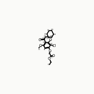 CCOC(=O)COc1cc(OC)c2c(c1Cl)OC1(CCCCC1)CC2=O